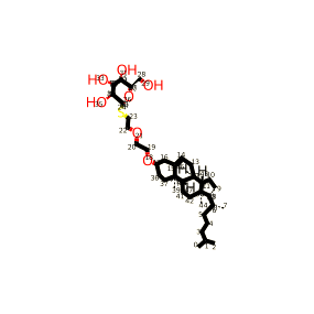 CC(C)CCC[C@@H](C)[C@H]1CC[C@H]2[C@@H]3CC=C4CC(OCCOCCS[C@@H]5O[C@H](CO)[C@@H](O)[C@H](O)[C@@H]5O)CC[C@]4(C)[C@H]3CC[C@]12C